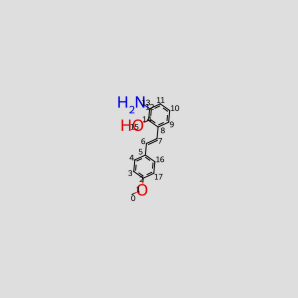 COc1ccc(/C=C/c2cccc(N)c2O)cc1